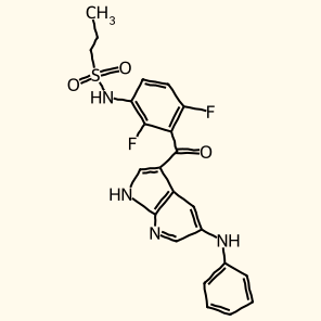 CCCS(=O)(=O)Nc1ccc(F)c(C(=O)c2c[nH]c3ncc(Nc4ccccc4)cc23)c1F